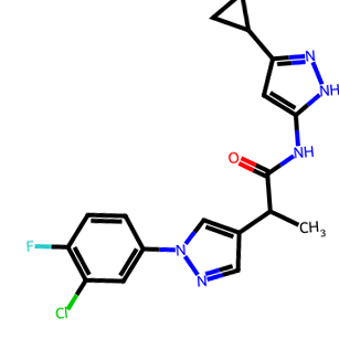 CC(C(=O)Nc1cc(C2CC2)n[nH]1)c1cnn(-c2ccc(F)c(Cl)c2)c1